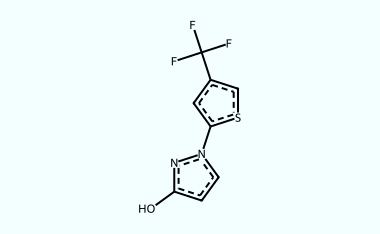 Oc1ccn(-c2cc(C(F)(F)F)cs2)n1